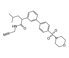 CC(C)CC(C(=O)NCC#N)c1cccc(-c2ccc(S(=O)(=O)N3CCOCC3)cc2)c1